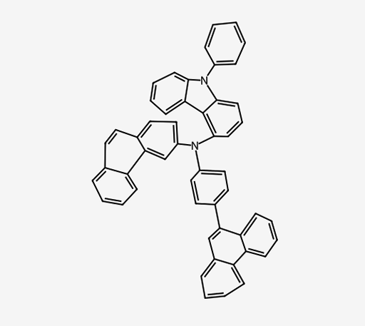 c1ccc(-n2c3ccccc3c3c(N(c4ccc(-c5cc6ccccc6c6ccccc56)cc4)c4ccc5ccc6ccccc6c5c4)cccc32)cc1